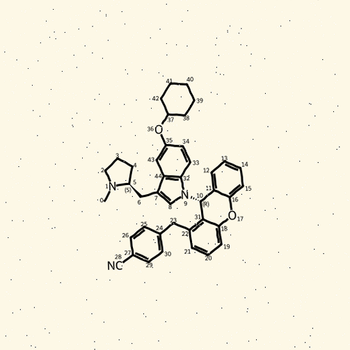 CN1CCC[C@H]1Cc1cn([C@@H]2c3ccccc3Oc3cccc(Cc4ccc(C#N)cc4)c32)c2ccc(OC3CCCCC3)cc12